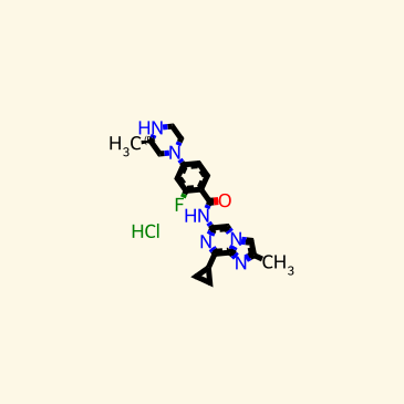 Cc1cn2cc(NC(=O)c3ccc(N4CCN[C@H](C)C4)cc3F)nc(C3CC3)c2n1.Cl